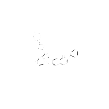 N[N+]12C=CN=CC1=C(C1CC(N3CCSCC3)C1)N=C2c1ccc2ccc(-c3ccccc3)nc2c1